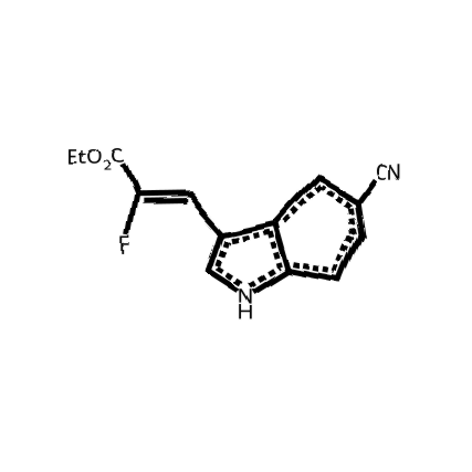 CCOC(=O)/C(F)=C/c1c[nH]c2ccc(C#N)cc12